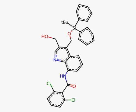 CC(C)(C)[Si](OCc1c(CO)cnc2c(NC(=O)c3c(Cl)cccc3Cl)cccc12)(c1ccccc1)c1ccccc1